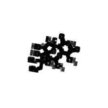 Cc1cn([C@@]2(C)C[C@H](O)[C@@](NC(=O)C(F)(F)F)(C(O)[Si](C)(CC(C)(C)C)C(C)(C)C)O2)c(=O)[nH]c1=O